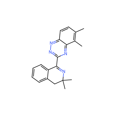 Cc1ccc2nnc(C3=NC(C)(C)Cc4ccccc43)nc2c1C